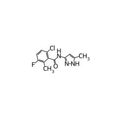 Cc1cc(NC(=O)c2c(Cl)ccc(F)c2C)n[nH]1